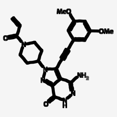 C=CC(=O)N1CCC(n2nc3c(=O)[nH]nc(N)c3c2C#Cc2cc(OC)cc(OC)c2)CC1